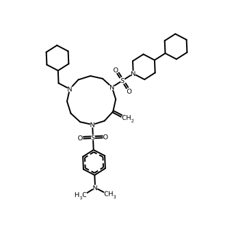 C=C1CN(S(=O)(=O)c2ccc(N(C)C)cc2)CCCN(CC2CCCCC2)CCCN(S(=O)(=O)N2CCC(C3CCCCC3)CC2)C1